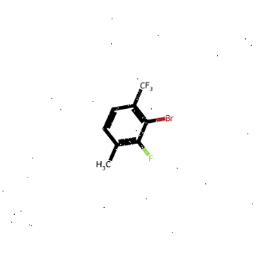 Cc1ccc(C(F)(F)F)c(Br)c1F